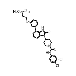 CN(C)CCOc1cccc(-c2cccc3c2[nH]c(=O)n3C2CCN(C(=O)Nc3ccc(Cl)c(Cl)c3)CC2)c1